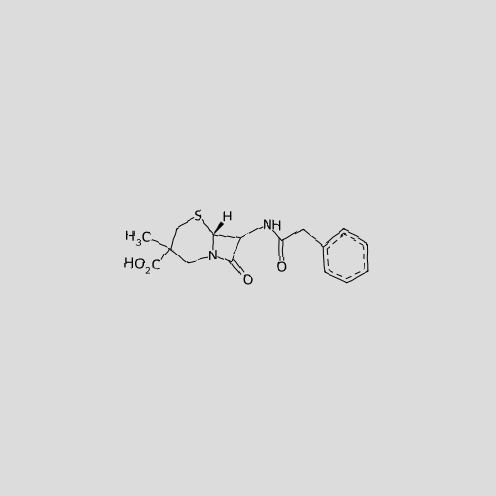 CC1(C(=O)O)CS[C@@H]2C(NC(=O)Cc3ccccc3)C(=O)N2C1